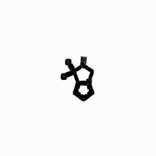 O=S1(=O)NCn2cccc21